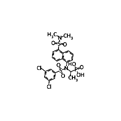 CC(N(c1cccc2c(S(=O)(=O)N(C)C)cccc12)S(=O)(=O)c1cc(Cl)cc(Cl)c1)P(=O)(O)O